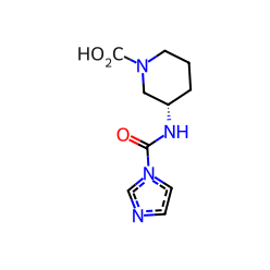 O=C(O)N1CCC[C@H](NC(=O)n2ccnc2)C1